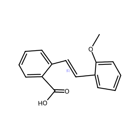 COc1ccccc1/C=C/c1ccccc1C(=O)O